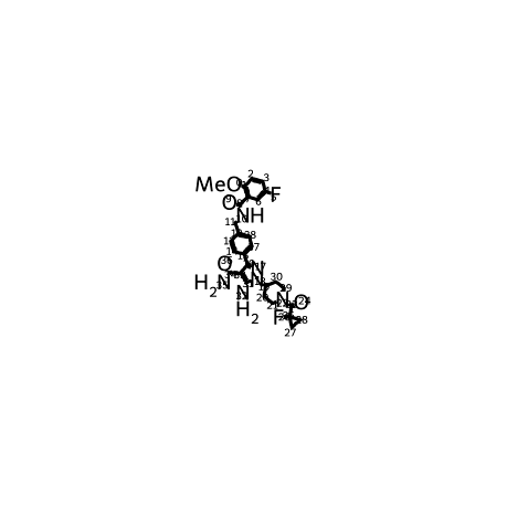 COc1ccc(F)cc1C(=O)NCc1ccc(-c2nn(C3CCN(C(=O)C4(F)CC4)CC3)c(N)c2C(N)=O)cc1